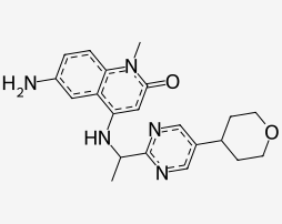 CC(Nc1cc(=O)n(C)c2ccc(N)cc12)c1ncc(C2CCOCC2)cn1